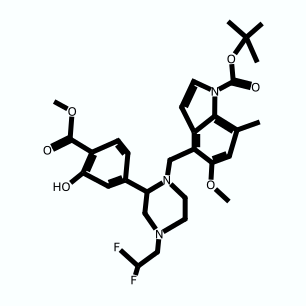 COC(=O)c1ccc(C2CN(CC(F)F)CCN2Cc2c(OC)cc(C)c3c2ccn3C(=O)OC(C)(C)C)cc1O